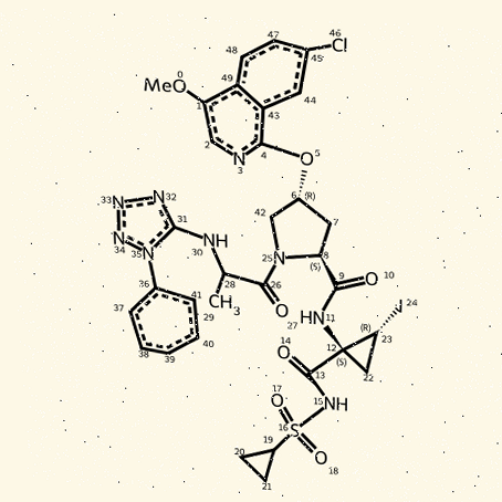 COc1cnc(O[C@@H]2C[C@@H](C(=O)N[C@]3(C(=O)NS(=O)(=O)C4CC4)C[C@H]3I)N(C(=O)C(C)Nc3nnnn3-c3ccccc3)C2)c2cc(Cl)ccc12